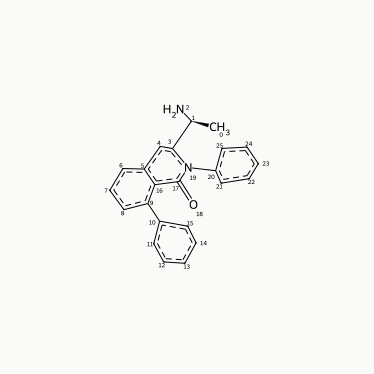 C[C@H](N)c1cc2cccc(-c3ccccc3)c2c(=O)n1-c1ccccc1